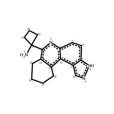 NC1(c2nc3ccc4[nH]ncc4c3c3c2CCCC3)CCC1